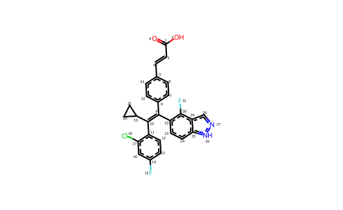 O=C(O)C=Cc1ccc(C(=C(c2ccc(F)cc2Cl)C2CC2)c2ccc3[nH]ncc3c2F)cc1